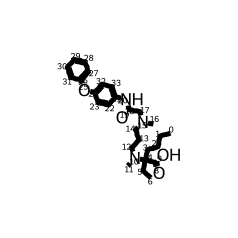 CCCCC(CC)(C(=O)O)N(C)CCCN(C)CC(=O)Nc1ccc(Oc2ccccc2)cc1